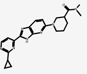 CN(C)C(=O)C1CCCN(c2ccc3nc(-c4ccnc(C5CC5)n4)[nH]c3n2)C1